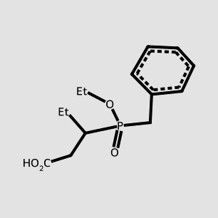 CCOP(=O)(Cc1ccccc1)C(CC)CC(=O)O